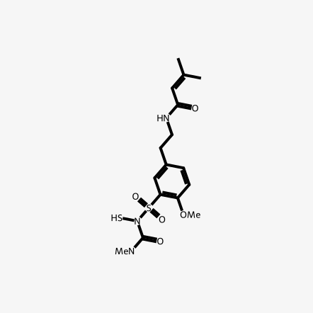 CNC(=O)N(S)S(=O)(=O)c1cc(CCNC(=O)C=C(C)C)ccc1OC